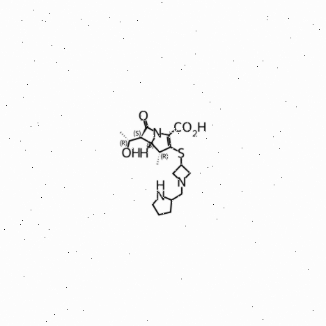 C[C@@H](O)[C@H]1C(=O)N2C(C(=O)O)=C(SC3CN(CC4CCCN4)C3)[C@H](C)[C@H]12